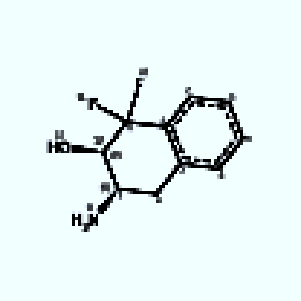 N[C@@H]1Cc2ccccc2C(F)(F)[C@@H]1O